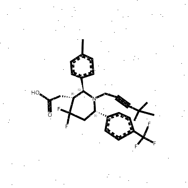 Cc1ccc([C@@H]2[C@@H](CC(=O)O)C(F)(F)C[C@@H](c3ccc(C(F)(F)F)cc3)N2CC#CC(C)(C)C)cc1